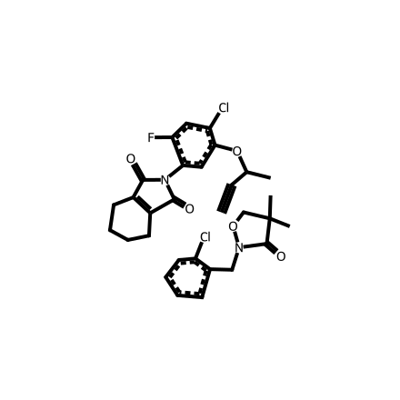 C#CC(C)Oc1cc(N2C(=O)C3=C(CCCC3)C2=O)c(F)cc1Cl.CC1(C)CON(Cc2ccccc2Cl)C1=O